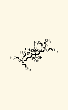 CCO[Si](CCCC(C(CCC[Si](OCC)(OCC)OCC)(P(O)(O)=S)P(O)(O)=S)P(O)(O)=S)(OCC)OCC